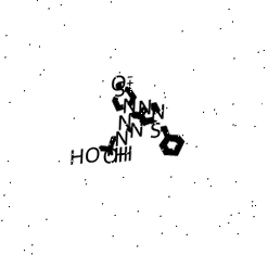 [O-][S+]1CCN(c2nc(NCC(O)CO)nc3c(SCc4ccccc4)ncnc23)CC1